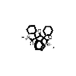 NC(=O)C(C(=O)C(C(N)=O)(C1CCCCC1)C1CCCCC1)(C1CCCCC1)C1CCCCC1